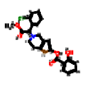 COC(=O)[C@H](c1ccccc1Cl)N1CCc2sc(OC(=O)c3ccccc3O)cc2C1